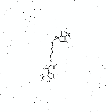 CN[C@@H](CCCCC/C=C/[C@@H]1C[C@]1(NP)C(=O)NS(C)(=O)=O)C(=O)N1C[C@H](C)C(C)[C@H]1C(C)=O